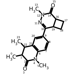 CC1C(=O)N(C)c2ccc(C3=NN(C)C(=O)C4CCC34)cc2C1C